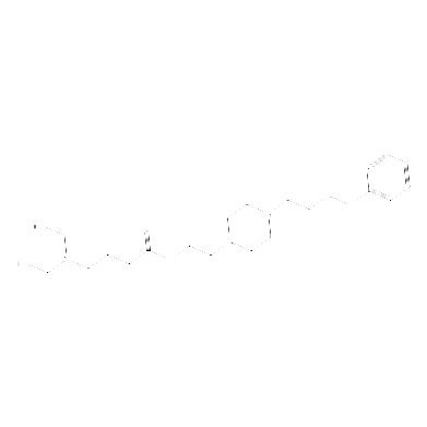 CC(C)CN(CCCC(=O)OCCN1CCN(CCSSc2ccccn2)CC1)CC(C)C